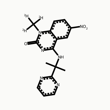 [2H]C([2H])([2H])n1c(=O)nc(NC(C)(C)c2ncccn2)c2cc([N+](=O)[O-])ccc21